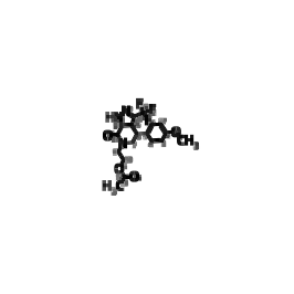 COc1ccc(C2CN(CCOC(C)=O)C(=O)c3[nH]nc(C(F)(F)F)c32)cc1